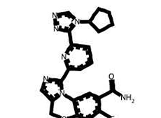 NC(=O)c1cc2c(cc1F)OCc1cnc(-c3cccc(-c4nncn4C4CCCC4)n3)n1-2